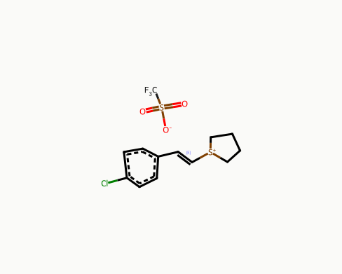 Clc1ccc(/C=C/[S+]2CCCC2)cc1.O=S(=O)([O-])C(F)(F)F